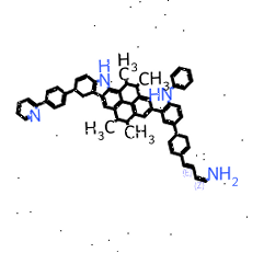 CC1c2cc(-c3cc(C4C=CC(/C=C/C=C\N)=CC4)ccc3Nc3ccccc3)cc3c2-c2c(cc4c5c([nH]c4c2C(C)C3C)C=CC(c2ccc(-c3ccccn3)cc2)C5)C1C